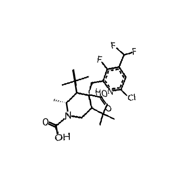 C[C@@H]1C(C(C)(C)C)[C@](Cc2nc(Cl)cc(C(F)F)c2F)(C(=O)O)C(C(C)(C)C)CN1C(=O)O